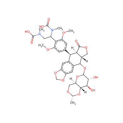 COc1cc([C@@H]2c3cc4c(cc3C(OC3O[C@@H]5CO[C@@H](C)O[C@H]5[C@H](O)[C@H]3O)[C@H]3COC(=O)[C@H]23)OCO4)cc(OC)c1C(CN(C)C(=O)O)N(C)C(=O)O